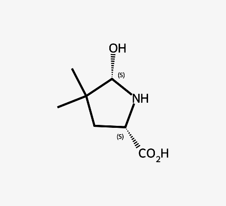 CC1(C)C[C@@H](C(=O)O)N[C@H]1O